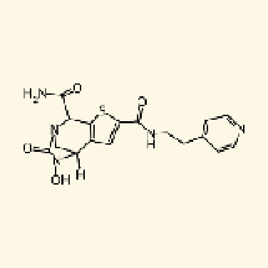 NC(=O)C1c2sc(C(=O)NCCc3ccncc3)cc2[C@H]2CN1C(=O)N2O